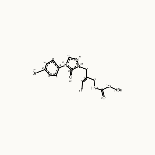 CC(C)(C)OC(=O)NCC(=CF)Cn1ncn(-c2ccc(Br)cc2)c1=O